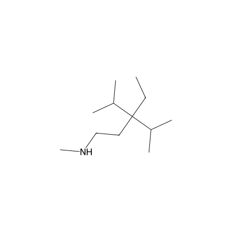 CCC(CCNC)(C(C)C)C(C)C